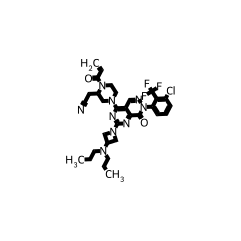 C=CC(=O)N1CCN(c2nc(N3CC(N(CCC)CCC)C3)nc3c(=O)n(-c4cccc(Cl)c4C(F)(F)F)ncc23)CC1CC#N